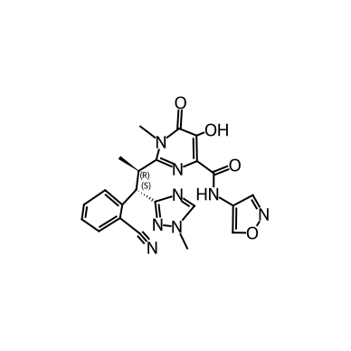 C[C@@H](c1nc(C(=O)Nc2cnoc2)c(O)c(=O)n1C)[C@H](c1ncn(C)n1)c1ccccc1C#N